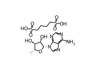 C[C@H]1O[C@@H](n2cnc3c(N)ncnc32)[C@H](O)[C@@H]1O.O=S(=O)(O)CCCCS(=O)(=O)O